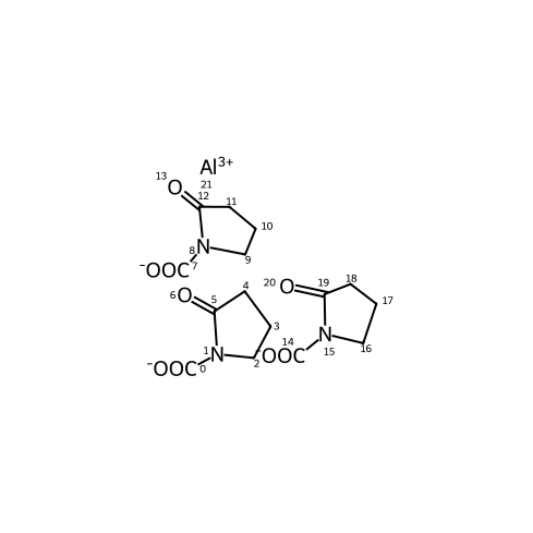 O=C([O-])N1CCCC1=O.O=C([O-])N1CCCC1=O.O=C([O-])N1CCCC1=O.[Al+3]